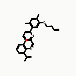 C=CCCOc1cc(-c2cccc(/C=N\c3c(C(C)C)cccc3C(C)C)n2)c(C)cc1C